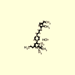 CCCc1cc(N2CCN(CCCSc3nnc(CC)n3C)CC2)nc(C(C)(C)C)n1.Cl